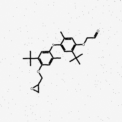 Cc1cc(OCC=O)c(C(C)(C)C)cc1Sc1cc(C(C)(C)C)c(OCC2CO2)cc1C